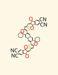 N#Cc1cc2c(cc1C#N)C(=O)C(=Cc1cc3c(s1)C1=CC4C=C5C(=CC4C=C1C1(CCCCC1)O3)c1sc(C=C3C(=O)c4cc(C#N)c(C#N)cc4C3=O)cc1OC51CCCCC1)C2=O